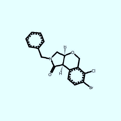 O=C1[C@@H]2c3ccc(Br)c(Cl)c3CO[C@@H]2CN1Cc1ccccc1